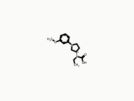 CCN(C(=O)O)[C@H]1CCN(c2cccc(OC)c2)C1